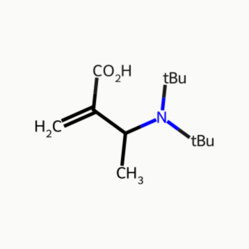 C=C(C(=O)O)C(C)N(C(C)(C)C)C(C)(C)C